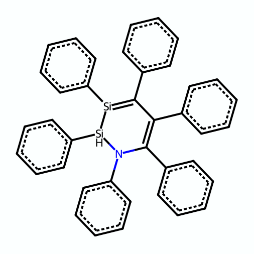 c1ccc(C2=C(c3ccccc3)N(c3ccccc3)[SiH](c3ccccc3)[Si](c3ccccc3)=C2c2ccccc2)cc1